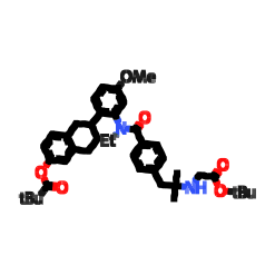 CCN(C(=O)c1ccc(CC(C)(C)NCC(=O)OC(C)(C)C)cc1)c1cc(OC)ccc1C1CCc2cc(OC(=O)C(C)(C)C)ccc2C1